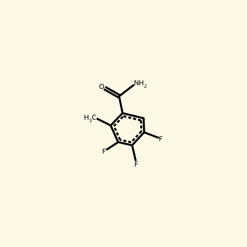 Cc1c(C(N)=O)cc(F)c(F)c1F